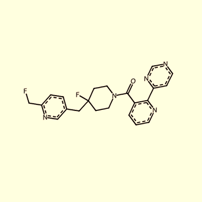 O=C(c1cccnc1-c1ccncn1)N1CCC(F)(Cc2ccc(CF)nc2)CC1